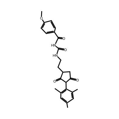 COc1ccc(C(=O)NC(=O)NCCC2CC(=O)C(c3c(C)cc(C)cc3C)C2=O)cc1